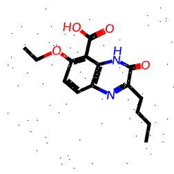 CCCCc1nc2ccc(OCC)c(C(=O)O)c2[nH]c1=O